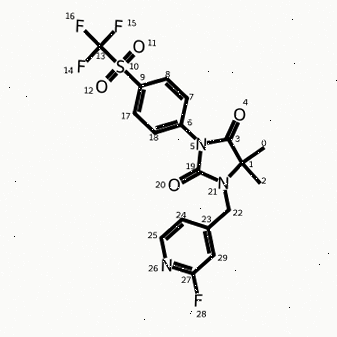 CC1(C)C(=O)N(c2ccc(S(=O)(=O)C(F)(F)F)cc2)C(=O)N1Cc1ccnc(F)c1